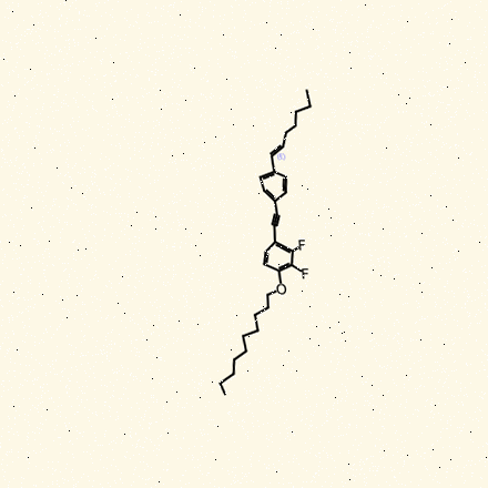 CCCCC/C=C/c1ccc(C#Cc2ccc(OCCCCCCCCCC)c(F)c2F)cc1